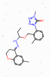 CCC(NN=C1CCOc2ccc(C)cc21)OCc1c(C)cccc1-n1nnn(C)c1=O